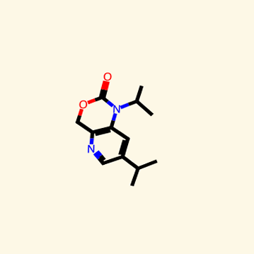 CC(C)c1cnc2c(c1)N(C(C)C)C(=O)OC2